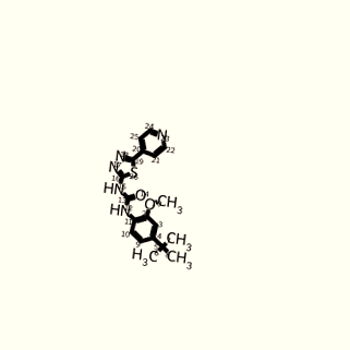 COc1cc(C(C)(C)C)ccc1NC(=O)Nc1nnc(-c2ccncc2)s1